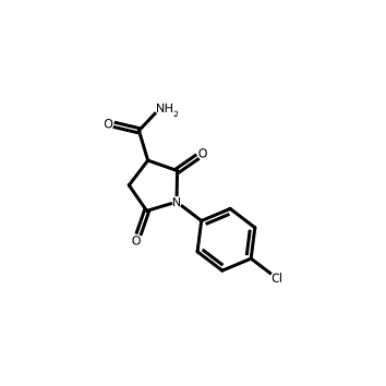 NC(=O)C1CC(=O)N(c2ccc(Cl)cc2)C1=O